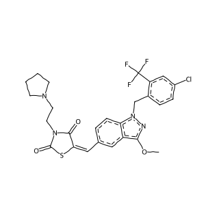 COc1nn(Cc2ccc(Cl)cc2C(F)(F)F)c2ccc(C=C3SC(=O)N(CCN4CCCC4)C3=O)cc12